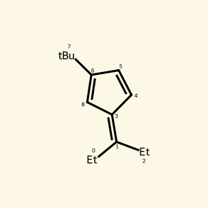 CCC(CC)=C1C=CC(C(C)(C)C)=C1